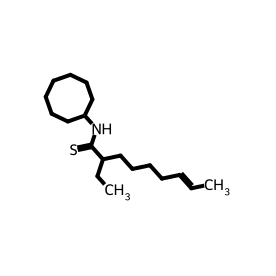 CC=CCCCCC(CC)C(=S)NC1CCCCCCC1